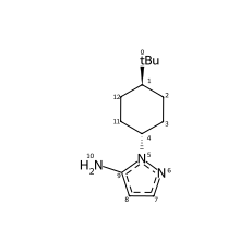 CC(C)(C)[C@H]1CC[C@H](n2nccc2N)CC1